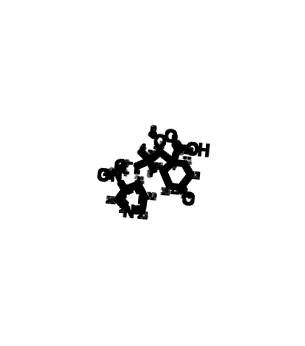 COC(C(C)(C)C)C1(C(=O)O)CCC(=O)CC1.O=[N+]([O-])c1cccnc1